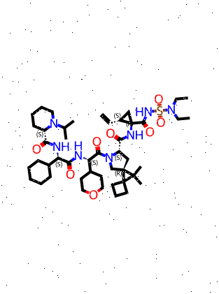 C=C[C@@H]1C[C@]1(NC(=O)[C@@H]1C[C@@]2(CN1C(=O)[C@@H](NC(=O)[C@@H](NC(=O)[C@@H]1CCCCN1C(C)C)C1CCCCC1)C1CCOCC1)C(C)(C)C21CCC1)C(=O)NS(=O)(=O)N(CC)CC